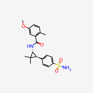 COc1ccc(C)c(C(=O)N[C@@H]2[C@@H](c3ccc(S(N)(=O)=O)cc3)C2(C)C)c1